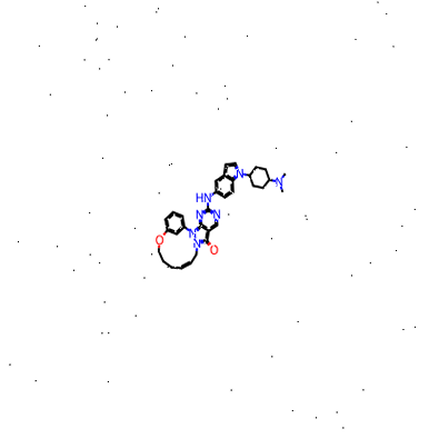 CN(C)C1CCC(n2ccc3cc(Nc4ncc5c(=O)n6n(c5n4)-c4cccc(c4)OCCC/C=C\C6)ccc32)CC1